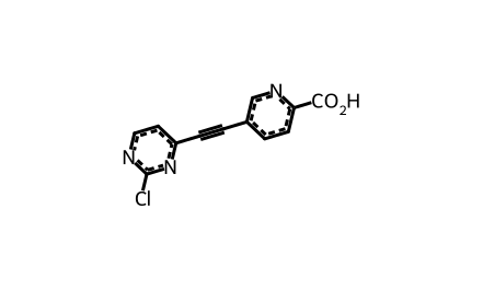 O=C(O)c1ccc(C#Cc2ccnc(Cl)n2)cn1